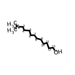 CN(C)CCCCCCCCCCCO